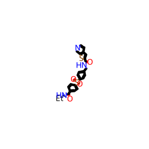 CCNC(=O)c1ccc(S(=O)(=O)c2ccc(CNC(=O)c3cc4ccncc4s3)cc2)cc1